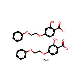 O=C([O-])c1ccc(OCCOc2ccccc2)cc1O.O=C([O-])c1ccc(OCCOc2ccccc2)cc1O.[Zn+2]